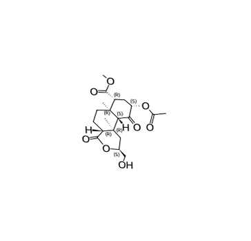 COC(=O)[C@@H]1C[C@H](OC(C)=O)C(=O)[C@H]2[C@@]1(C)CC[C@H]1C(=O)O[C@H](CO)C[C@]21C